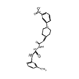 Cc1cccc(NC(=O)NNC(=O)C=C2CCN(c3cccc([N+](=O)[O-])c3)CC2)c1